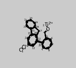 [Cl-].[Cl-].[Ti+2][O]Cc1ccccc1-c1cccc2c1Cc1ccccc1-2